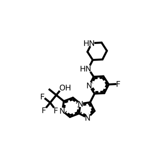 CC(O)(c1cn2c(-c3cc(F)cc(NC4CCCNC4)n3)cnc2cn1)C(F)(F)F